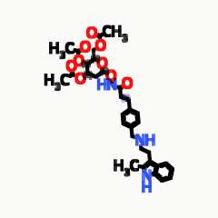 CC(=O)OC[C@H]1O[C@@H](ONC(=O)/C=C/c2ccc(CNCCc3c(C)[nH]c4ccccc34)cc2)C[C@@H](OC(C)=O)[C@@H]1OC(C)=O